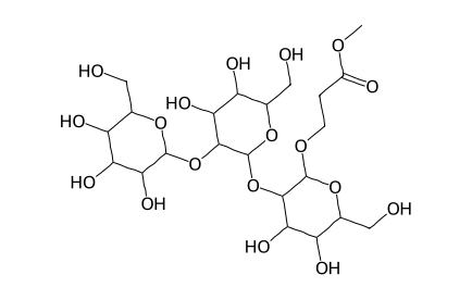 COC(=O)CCOC1OC(CO)C(O)C(O)C1OC1OC(CO)C(O)C(O)C1OC1OC(CO)C(O)C(O)C1O